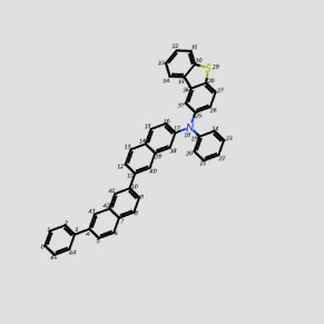 c1ccc(-c2ccc3ccc(-c4ccc5ccc(N(c6ccccc6)c6ccc7sc8ccccc8c7c6)cc5c4)cc3c2)cc1